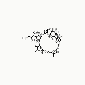 C=C1C[C@@H]2CC[C@@]34C[C@H]5O[C@H]6[C@@H](O3)[C@H]3OC(CC[C@@H]3O[C@H]6C5O4)CC(=O)C[C@H]3[C@H](CC4O[C@@H](CCC1O2)C[C@@H](C)C4=C)OC(C[C@H](O)CN)[C@@H]3OC